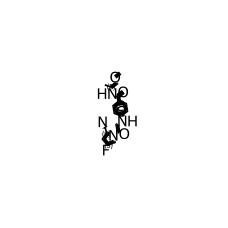 COC[C@H](C)NC(=O)C12CCC(NCC(=O)N3C[C@@H](F)C[C@H]3C#N)(CC1)CC2